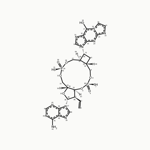 C=C[C@@H]1[C@@H]2O[P@](=O)(S)OC[C@H]3C[C@@H](n4cnc5c(O)n6ccnc6nc54)[C@@H]3CO[P@](=O)(S)OC[C@H]2O[C@H]1n1cnc2c(N)ncnc21